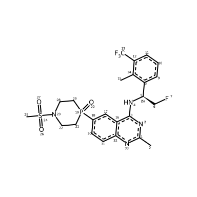 Cc1nc(N[C@H](CF)c2cccc(C(F)(F)F)c2C)c2cc(P3(=O)CCN(S(C)(=O)=O)CC3)ccc2n1